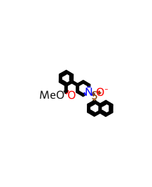 COC(=O)c1ccccc1C1CCN([S+]([O-])c2cccc3ccccc23)CC1